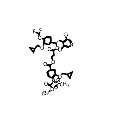 CC(C)(C)OC(=O)N(c1ccc(C(=O)OCCC(=O)O[C@@H](Cc2c(Cl)cncc2Cl)c2ccc(OC(F)F)c(OCC3CC3)c2)cc1OCC1CC1)S(C)(=O)=O